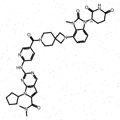 CN(C)C(=O)c1cc2cnc(Nc3ccc(C(=O)N4CCC5(CC4)CN(c4cccc6c4n(C)c(=O)n6[C@@H]4CCC(=O)NC4=O)C5)cn3)nc2n1C1CCCC1